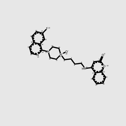 O=c1cc(NCCCC[N+]2([O-])CCN(c3nccc4ccc(F)cc34)CC2)c2ccccc2o1